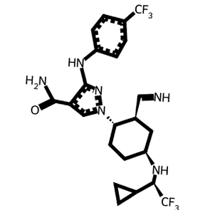 N=C[C@H]1C[C@@H](N[C@H](C2CC2)C(F)(F)F)CC[C@@H]1n1cc(C(N)=O)c(Nc2ccc(C(F)(F)F)cc2)n1